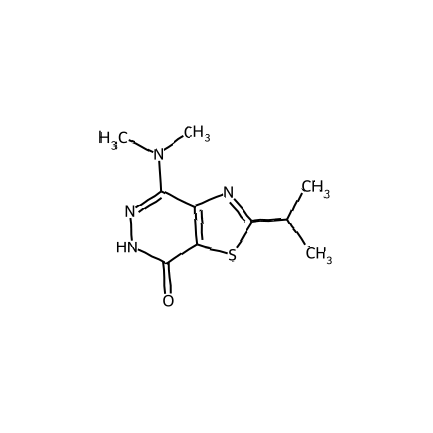 CC(C)c1nc2c(N(C)C)n[nH]c(=O)c2s1